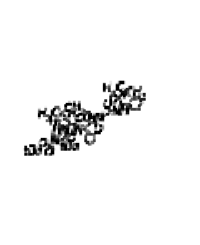 CN(C)C(=O)[C@@H](NC(=O)CNC(=O)C(=O)C(NC(=O)[C@@H]1[C@@H]2[C@H](CN1C(=O)[C@@H](NC(=O)OC(C)(C)C)C(C)(C)C)C2(C)C)C1CCCC1)c1ccccc1